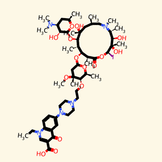 CCn1cc(C(=O)O)c(=O)c2cc(N3CCN(CCO[C@H]4[C@H](C)OC(O[C@H]5[C@H](C)[C@@H](O[C@@H]6O[C@H](C)C[C@H](N(C)C)[C@H]6O)[C@](C)(O)C[C@@H](C)CN(C)[C@H](C)[C@@H](O)[C@](C)(O)[C@@H](I)OC(=O)[C@@H]5C)C[C@@]4(C)OC)CC3)ccc21